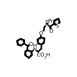 CCCN(CCOc1ccc(C[C@H](Nc2ccccc2C(=O)c2ccccc2)C(=O)O)cc1)C(=O)c1cccs1